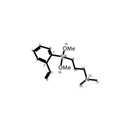 C=Cc1ccccc1[Si](CCCN(C)C)(OC)OC